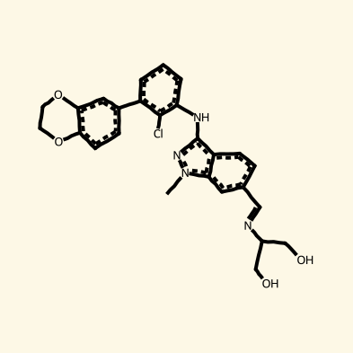 Cn1nc(Nc2cccc(-c3ccc4c(c3)OCCO4)c2Cl)c2ccc(C=NC(CO)CO)cc21